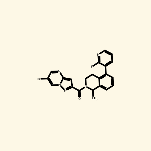 CC1c2cccc(-c3cccnc3F)c2CCN1C(=O)c1cc2ncc(Br)cn2n1